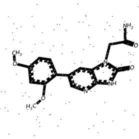 COc1ccc(-c2cnc3[nH]c(=O)n(CC(N)=O)c3c2)c(OC)c1